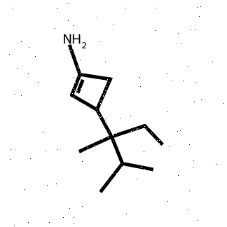 CCC(C)(C(C)C)C1C=C(N)C1